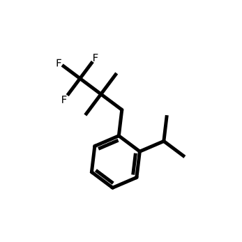 CC(C)c1ccccc1CC(C)(C)C(F)(F)F